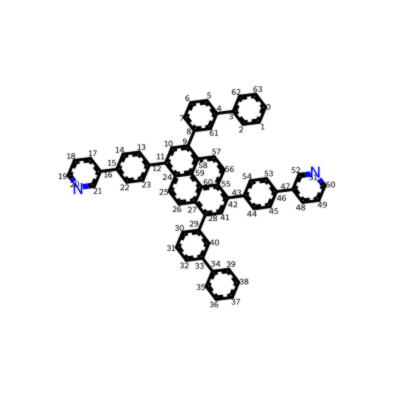 c1ccc(-c2cccc(-c3cc(-c4ccc(-c5cccnc5)cc4)c4ccc5c(-c6cccc(-c7ccccc7)c6)cc(-c6ccc(-c7cccnc7)cc6)c6ccc3c4c65)c2)cc1